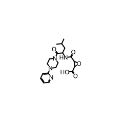 CC(C)CC(NC(=O)C1OC1C(=O)O)C(=O)N1CCN(c2ccccn2)CC1